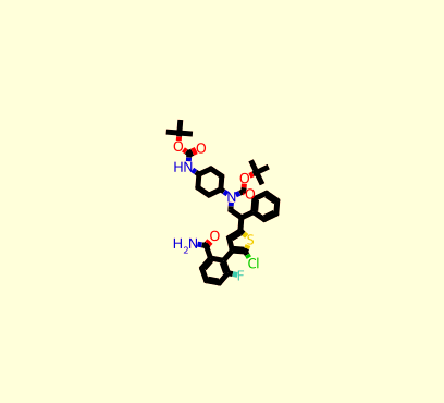 CC(C)(C)OC(=O)NC1CCC(N(CC(c2ccccc2)c2cc(-c3c(F)cccc3C(N)=O)c(Cl)s2)C(=O)OC(C)(C)C)CC1